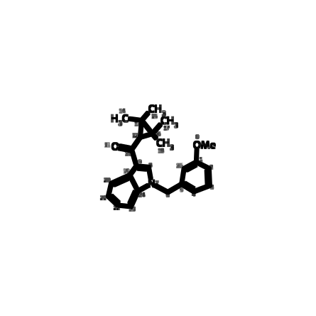 COc1cccc(Cn2cc(C(=O)C3C(C)(C)C3(C)C)c3ccccc32)c1